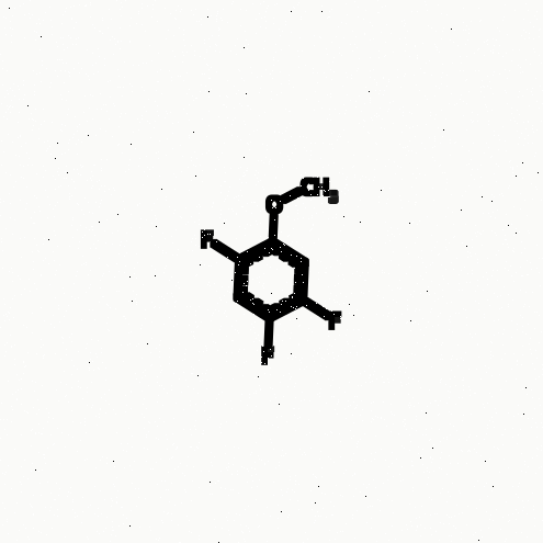 COc1cc(F)c(F)cc1F